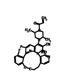 C=CC(=O)N1CC(C)N(c2c(C#N)c(=O)n3c4nc(c(F)cc24)-c2c(F)cccc2OCCCc2ccnc(C(C)C)c2-3)CC1C